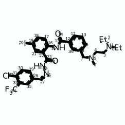 CCN(CC)CCN(C)Cc1cccc(C(=O)Nc2ccc(I)cc2C(=O)N/N=C\c2ccc(Cl)c(C(F)(F)F)c2)c1